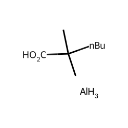 CCCCC(C)(C)C(=O)O.[AlH3]